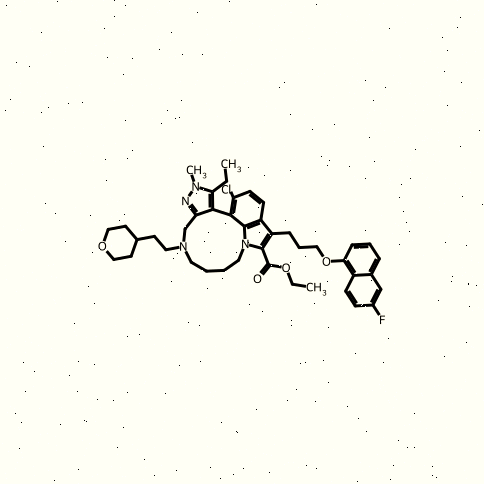 CCOC(=O)c1c(CCCOc2cccc3cc(F)ccc23)c2ccc(Cl)c3c2n1CCCCN(CCC1CCOCC1)Cc1nn(C)c(CC)c1-3